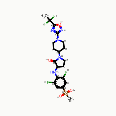 CC(F)(F)c1nc(N2CCC(N3CCC(Nc4c(F)cc(S(C)(=O)=O)cc4F)C3=O)CC2)no1